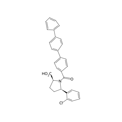 O=C(O)[C@@H]1CC[C@H](c2ccccc2Cl)N1C(=O)c1ccc(-c2ccc(-c3ccccc3)cc2)cc1